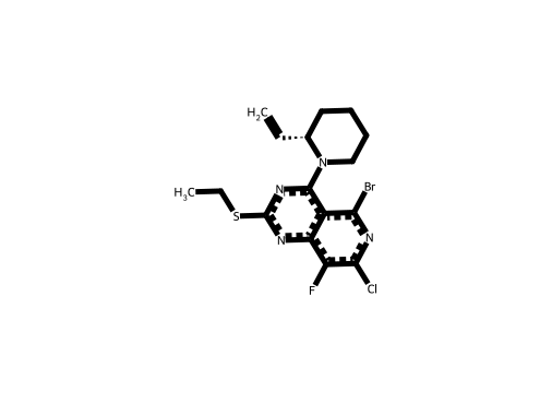 C=C[C@@H]1CCCCN1c1nc(SCC)nc2c(F)c(Cl)nc(Br)c12